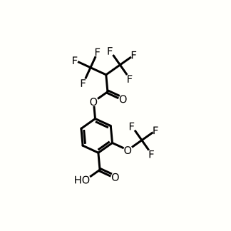 O=C(O)c1ccc(OC(=O)C(C(F)(F)F)C(F)(F)F)cc1OC(F)(F)F